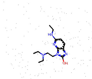 CCNc1ccc2nc(O)n(CCN(CC)CC)c2n1